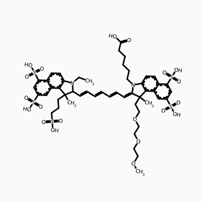 CCN1c2ccc3c(S(=O)(=O)O)cc(S(=O)(=O)O)cc3c2C(C)(CCCS(=O)(=O)O)C1C=CC=CC=CC=C1N(CCCCCC(=O)O)c2ccc3c(S(=O)(=O)O)cc(S(=O)(=O)O)cc3c2C1(C)CCOCCOCCOC